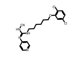 N#CNC(=Nc1ccncc1)NCCCCCCOc1cc(Cl)ccc1Cl